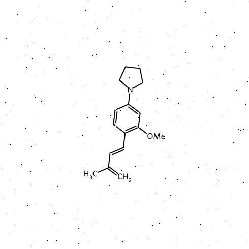 C=C(C)/C=C/c1ccc(N2CCCC2)cc1OC